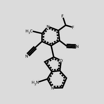 Cc1nc(C(F)F)c(C#N)c(-c2cc3c(N)nccc3o2)c1C#N